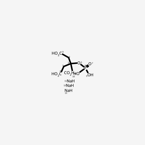 O=C(O)CC(CC(=O)O)(OP(=O)(O)O)C(=O)O.[NaH].[NaH].[NaH]